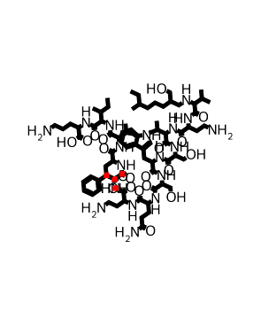 CCC(C)CCCC(CO)CNC(C(=O)NC(CCN)C(=O)NC(C(=O)NC(CO)C(=O)NC(Cc1c[nH]c2ccccc12)C(=O)NC(CO)C(=O)NC(CCC(N)=O)C(=O)NC(CCN)C(=O)NC(Cc1ccccc1)C(=O)NC(CCC(=O)O)C(=O)NC(C(=O)NC(C(=O)NC(CCCN)C(=O)O)C(C)CC)C(C)C)C(C)C)C(C)C